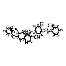 N#Cc1cnc2cc(Oc3ccncc3)c([N+](=O)[O-])cc2c1Nc1ccc(OCc2ccccc2Cl)c(Cl)c1